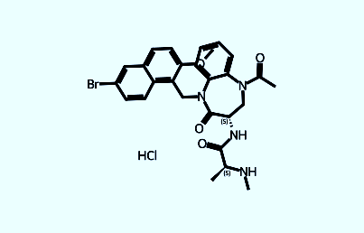 CN[C@@H](C)C(=O)N[C@H]1CN(C(C)=O)c2ccccc2N(Cc2c(OC)ccc3cc(Br)ccc23)C1=O.Cl